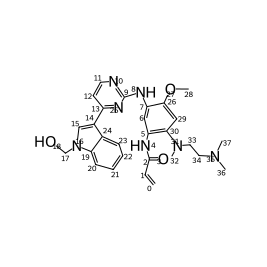 C=CC(=O)Nc1cc(Nc2nccc(-c3cn(CO)c4ccccc34)n2)c(OC)cc1N(C)CCN(C)C